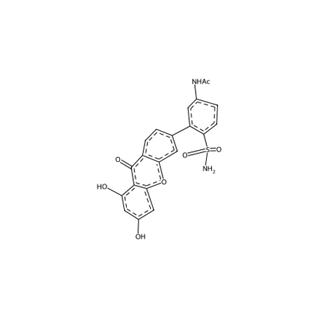 CC(=O)Nc1ccc(S(N)(=O)=O)c(-c2ccc3c(=O)c4c(O)cc(O)cc4oc3c2)c1